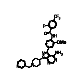 COc1cc(-c2nn(C3CCN(Cc4cccnc4)CC3)c3ncnc(N)c23)ccc1NC(=O)c1ccc(C(F)(F)F)cc1F